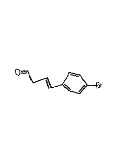 O=CCC=Cc1ccc(Br)cc1